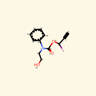 C#CC(I)OC(=O)N(CCO)c1ccccc1